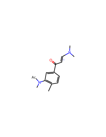 CC(=O)N(C)c1cc(C(=O)/C=C/N(C)C)ccc1C